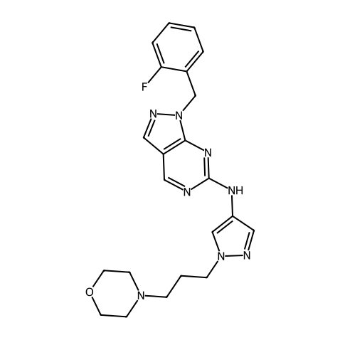 Fc1ccccc1Cn1ncc2cnc(Nc3cnn(CCCN4CCOCC4)c3)nc21